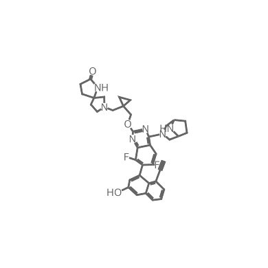 C#Cc1cccc2cc(O)cc(-c3c(F)cc4c(N5CC6CCC(C5)N6)nc(OCC5(CN6CCC7(CCC(=O)N7)C6)CC5)nc4c3F)c12